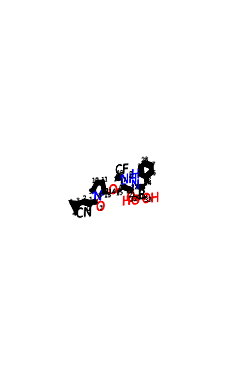 N#CC(=CC1CC1)C(=O)N1CCC[C@@H]1COC[C@H](NCC(F)(F)F)C(=O)N[C@@H](Cc1ccccc1)B(O)O